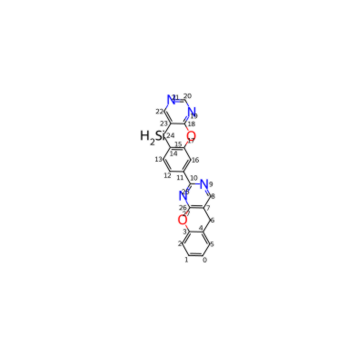 c1ccc2c(c1)Cc1cnc(-c3ccc4c(c3)Oc3ncncc3[SiH2]4)nc1O2